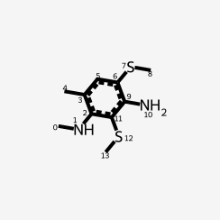 CNc1c(C)cc(SC)c(N)c1SC